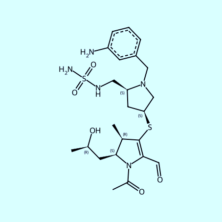 CC(=O)N1C(C=O)=C(S[C@H]2C[C@@H](CNS(N)(=O)=O)N(Cc3cccc(N)c3)C2)[C@H](C)[C@@H]1C[C@@H](C)O